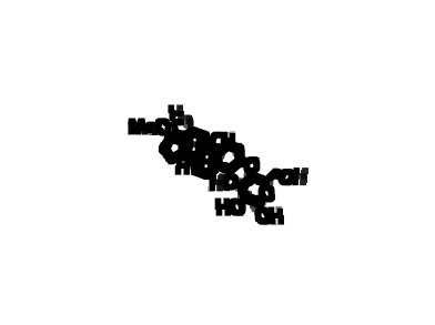 COC1CC[C@H]2[C@@H]3CCC4CC(O[C@@H]5[C@@H](O)[C@@H](O)[C@@H](O)O[C@@H]5CO)CC[C@]4(C)[C@@H]3CC[C@]12C